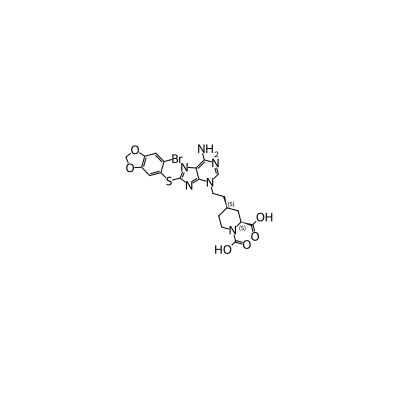 Nc1ncn(CC[C@@H]2CCN(C(=O)O)[C@H](C(=O)O)C2)c2nc(Sc3cc4c(cc3Br)OCO4)nc1-2